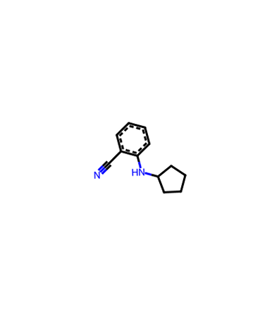 N#Cc1ccccc1NC1CCCC1